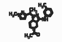 CC(=O)N1C=CC2C(C1)C(Nc1cccc(C)c1)=NN2C(C)c1ccn(C)n1